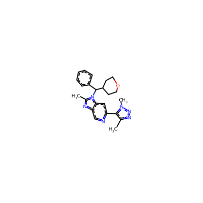 Cc1nnn(C)c1-c1cc2c(cn1)nc(C)n2C(c1ccccc1)C1CCOCC1